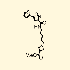 COC(=O)C1CN(CCCCCNC(=O)c2cc(-c3cccs3)on2)C1